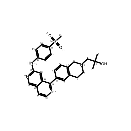 CC(C)(O)CN1CCc2cc(-c3nccc4cnc(Nc5ccc(S(C)(=O)=O)cc5)cc34)ccc2C1